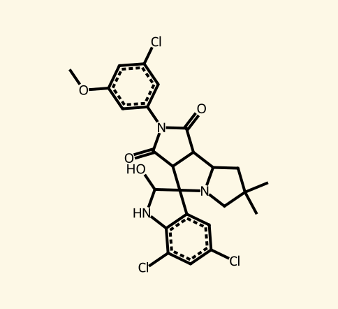 COc1cc(Cl)cc(N2C(=O)C3C4CC(C)(C)CN4C4(c5cc(Cl)cc(Cl)c5NC4O)C3C2=O)c1